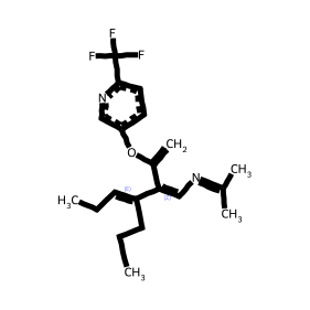 C=C(Oc1ccc(C(F)(F)F)nc1)C(=C\N=C(C)C)/C(=C/CC)CCC